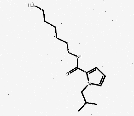 CC(C)Cn1cccc1C(=O)NCCCCCCN